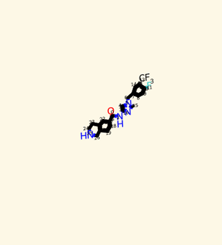 O=C(Nc1cn(Cc2ccc(F)c(C(F)(F)F)c2)cn1)c1ccc2c(c1)CCNC2